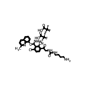 CNC(Oc1cccc2ccc(C)nc12)c1c(Cl)ccc(C(=O)CNC(=O)NCCCCN)c1C#N.O=C(O)C(F)(F)F.O=C(O)C(F)(F)F